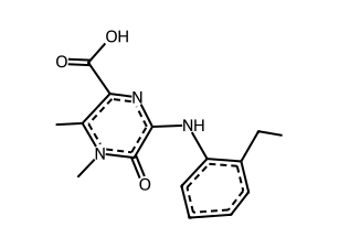 CCc1ccccc1Nc1nc(C(=O)O)c(C)n(C)c1=O